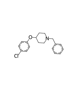 Clc1ccc(OC2CCN(Cc3ccccc3)CC2)cc1